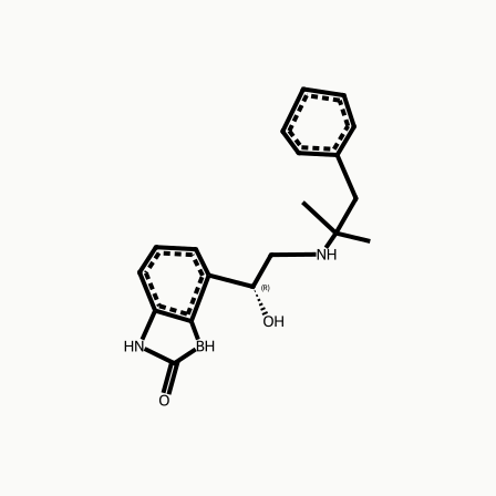 CC(C)(Cc1ccccc1)NC[C@H](O)c1cccc2c1BC(=O)N2